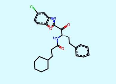 O=C(CCC1CCCCC1)N[C@@H](CCc1ccccc1)C(=O)c1nc2cc(Cl)ccc2o1